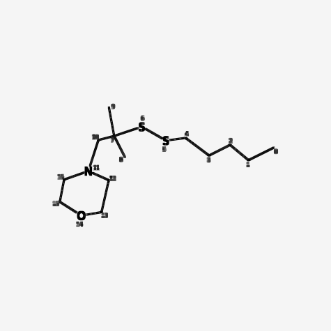 CCCCCSSC(C)(C)CN1CCOCC1